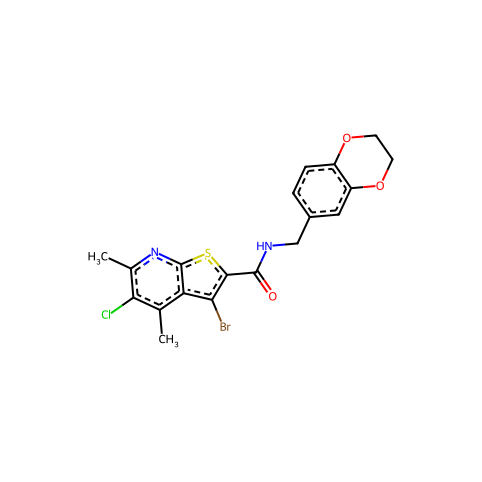 Cc1nc2sc(C(=O)NCc3ccc4c(c3)OCCO4)c(Br)c2c(C)c1Cl